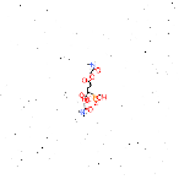 CN(C)C(=O)COC(=O)CCC(CP(=O)(O)O)C(=O)OCC(=O)N(C)C